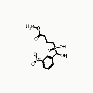 BOC(=O)CCCP(=O)(O)C(O)c1cccc([N+](=O)[O-])c1